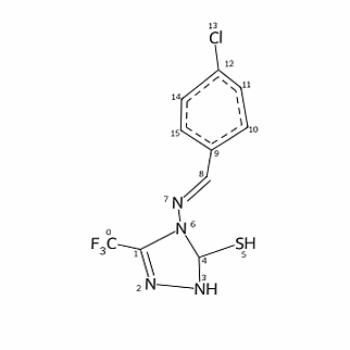 FC(F)(F)C1=NNC(S)N1N=Cc1ccc(Cl)cc1